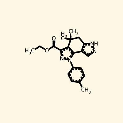 CCOC(=O)c1nn(-c2ccc(C)cc2)c2c1C(C)(C)Cc1[nH]ncc1-2